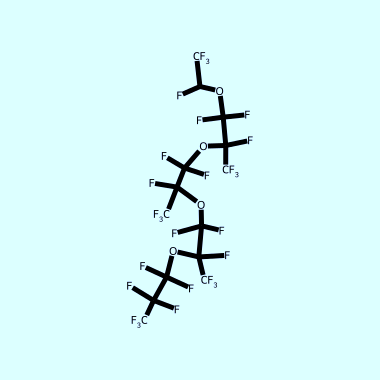 FC(OC(F)(F)C(F)(OC(F)(F)C(F)(OC(F)(F)C(F)(OC(F)(F)C(F)(F)C(F)(F)F)C(F)(F)F)C(F)(F)F)C(F)(F)F)C(F)(F)F